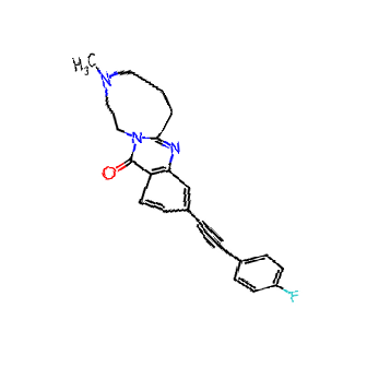 CN1CCCc2nc3cc(C#Cc4ccc(F)cc4)ccc3c(=O)n2CC1